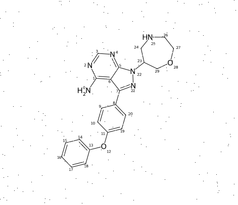 Nc1ncnc2c1c(-c1ccc(Oc3ccccc3)cc1)nn2C1CNCCOC1